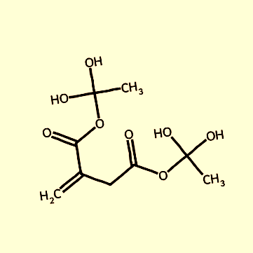 C=C(CC(=O)OC(C)(O)O)C(=O)OC(C)(O)O